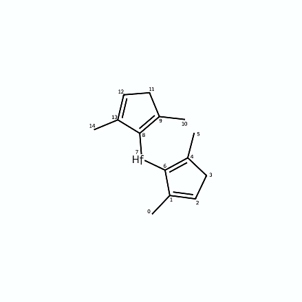 CC1=CCC(C)=[C]1[Hf][C]1=C(C)CC=C1C